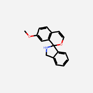 COc1ccc2c(c1)C1(NCc3ccccc31)OC=C2